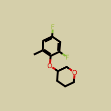 Cc1cc(F)cc(F)c1OC1CCCOC1